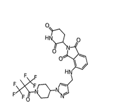 CC(C(=O)N1CCC(n2cc(CNc3cccc4c3C(=O)N(C3CCC(=O)NC3=O)C4=O)cn2)CC1)(C(F)(F)F)C(F)(F)F